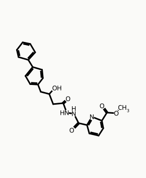 COC(=O)c1cccc(C(=O)NNC(=O)CC(O)Cc2ccc(-c3ccccc3)cc2)n1